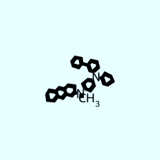 CN(c1ccc(N(c2ccccc2)c2cccc(-c3ccccc3)c2)cc1)c1ccc2cc3ccccc3cc2c1